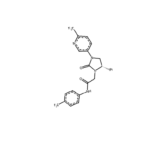 CC(C)[C@H]1CN(c2ccc(C(F)(F)F)nc2)C(=O)N1CC(=O)Nc1ccc(C(F)(F)F)cc1